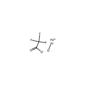 CC(=O)[O-].O=C([O-])C(F)(F)F.[Pd+2]